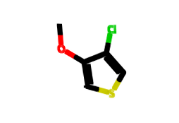 COc1[c]scc1Cl